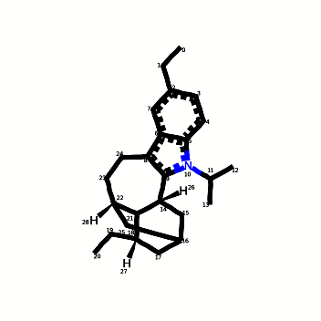 CCc1ccc2c(c1)c1c(n2C(C)C)[C@@H]2CC3C[C@H](CC)C2[C@@H](CC1)C3